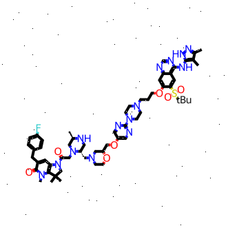 Cc1n[nH]c(Nc2ncnc3cc(OCCCN4CCN(c5ncc(OCC6CN(C[C@H]7CN[C@H](C)CN7CC(=O)N7CC(C)(C)c8c7cc(Cc7ccc(F)cc7)c(=O)n8C)CCO6)cn5)CC4)c(S(=O)(=O)C(C)(C)C)cc23)c1C